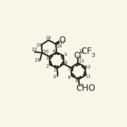 Cc1cc2c(cc1-c1cc(C=O)ccc1OC(F)(F)F)C(=O)CCC2(C)C